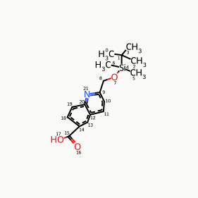 CC(C)(C)[Si](C)(C)OCc1ccc2cc(C(=O)O)ccc2n1